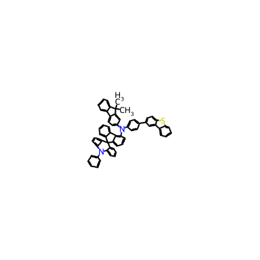 CC1(C)c2ccccc2-c2ccc(N(c3ccc(-c4ccc5sc6ccccc6c5c4)cc3)c3cccc4c3-c3ccccc3C43c4ccccc4N(c4ccccc4)c4ccccc43)cc21